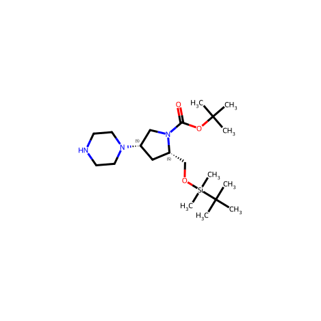 CC(C)(C)OC(=O)N1C[C@@H](N2CCNCC2)C[C@H]1CO[Si](C)(C)C(C)(C)C